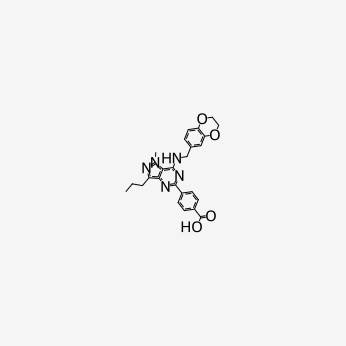 CCCc1nn(C)c2c(NCc3ccc4c(c3)OCCO4)nc(-c3ccc(C(=O)O)cc3)nc12